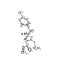 CCc1sc(NC(=O)c2ccc(Cl)cc2)nc1C(=O)OC